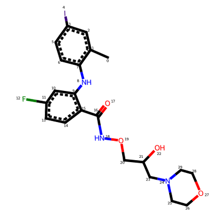 Cc1cc(I)ccc1Nc1cc(F)ccc1C(=O)NOCC(O)CN1CCOCC1